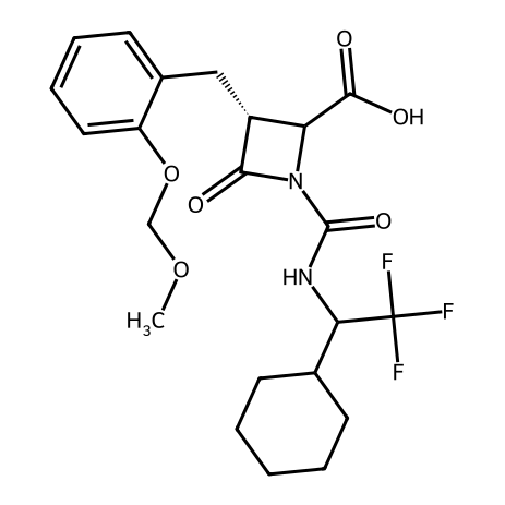 COCOc1ccccc1C[C@H]1C(=O)N(C(=O)NC(C2CCCCC2)C(F)(F)F)C1C(=O)O